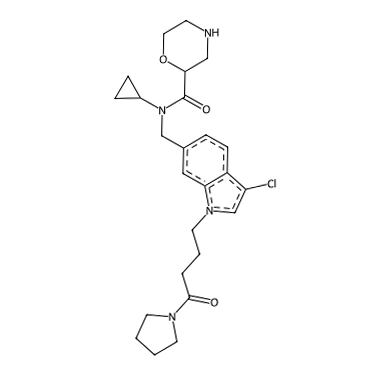 O=C(CCCn1cc(Cl)c2ccc(CN(C(=O)C3CNCCO3)C3CC3)cc21)N1CCCC1